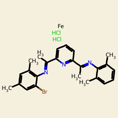 CC(=Nc1c(C)cccc1C)c1cccc(C(C)=Nc2c(C)cc(C)cc2Br)n1.Cl.Cl.[Fe]